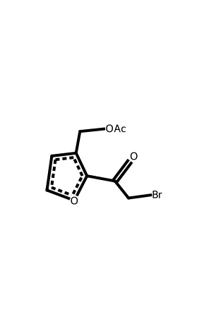 CC(=O)OCc1ccoc1C(=O)CBr